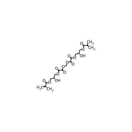 C=C(C)C(=O)OCC(O)COC(=O)C(=O)OCOC(=O)C(=O)OCC(O)COC(=O)C(=C)C